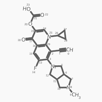 C#Cc1c(N2CC3CN(C)CC3C2)c(F)cc2c(=O)c(OC(=O)O)cn(C3CC3)c12